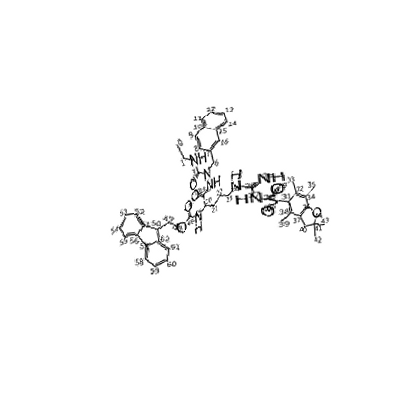 CCNC(=O)N(Cc1ccc2ccccc2c1)NC(=O)[C@@H](CCCNC(=N)NS(=O)(=O)c1c(C)c(C)c2c(c1C)CC(C)(C)O2)NC(=O)OCC1c2ccccc2-c2ccccc21